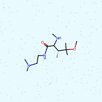 CNC(C(=O)NCCN(C)C)[C@@H](C)C(C)(C)OC